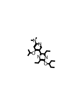 CCc1nc(-c2cnc(N(C)C)cc2OC(C)C)c(CC)nc1OC(CC)CC